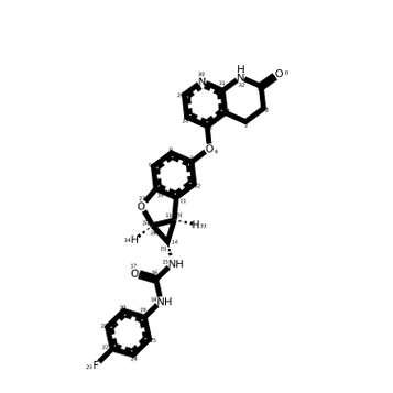 O=C1CCc2c(Oc3ccc4c(c3)[C@H]3[C@H](NC(=O)Nc5ccc(F)cc5)[C@H]3O4)ccnc2N1